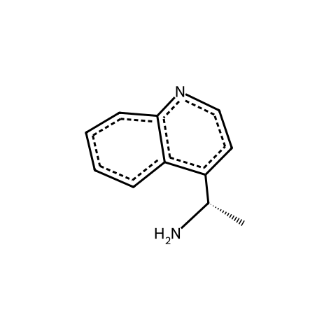 C[C@H](N)c1ccnc2ccccc12